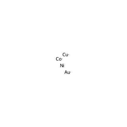 [Au].[Co].[Cu].[Ni]